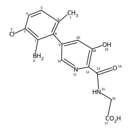 Bc1c(Cl)ccc(C)c1-c1cnc(C(=O)NCC(=O)O)c(O)c1